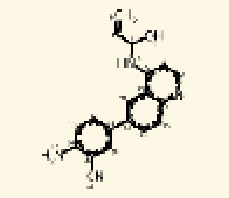 C=CC(O)Nc1ccnc2ccc(-c3ccc(N)c(C#N)c3)cc12